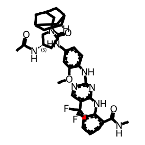 CNC(=O)c1cccc(C)c1Nc1nc(Nc2ccc(NC(=O)[C@]34CC5CC(C3)[C@H](N3CC[C@H](NC(C)=O)C3)C(C5)C4)cc2OC)ncc1C(F)(F)F